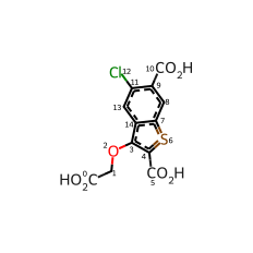 O=C(O)COc1c(C(=O)O)sc2cc(C(=O)O)c(Cl)cc12